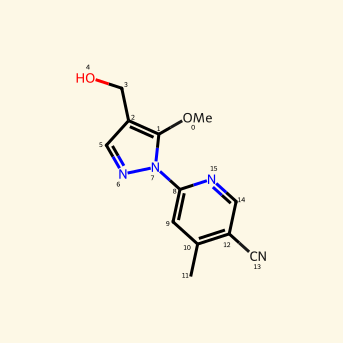 COc1c(CO)cnn1-c1cc(C)c(C#N)cn1